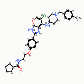 COc1ccc(CN2CCC(NC3=C4N=C(c5ccc(OCCNC(=O)C6CCCC6)cc5)NC4OC=C3Cl)CC2)cc1